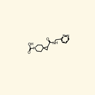 O=C(NCc1cccnn1)C1CC12CCN(C(=O)O)CC2